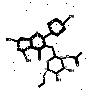 CCC[C@@H]1OC(Cc2c(-c3ccc(O)cc3)oc3cc(O)cc(O)c3c2=O)[C@H](OC(C)=O)[C@H](O)[C@H]1O